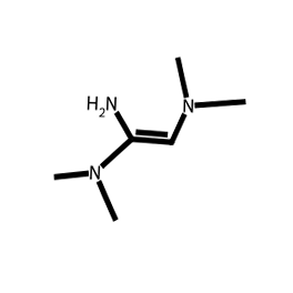 CN(C)/C=C(\N)N(C)C